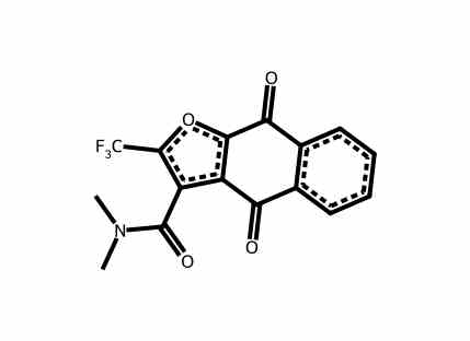 CN(C)C(=O)c1c(C(F)(F)F)oc2c1C(=O)c1ccccc1C2=O